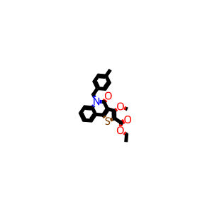 CCOC(=O)c1sc2c(c1OC)c(=O)n(Cc1ccc(C)cc1)c1ccccc21